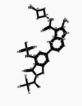 C[C@H](N1Cc2cc(-c3ccn4nc(N)c(C(=O)N[C@H]5C[C@H](O)C5)c4n3)cc(NS(C)(=O)=O)c2C1=O)C(F)(F)F